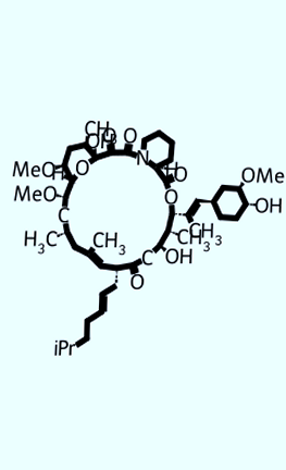 CO[C@H]1C[C@@H](C)C/C(C)=C/[C@@H](C/C=C/CCC(C)C)C(=O)C[C@H](O)[C@@H](C)[C@@H](/C(C)=C/[C@@H]2CC[C@@H](O)[C@H](OC)C2)OC(=O)[C@@H]2CCCCN2C(=O)C(=O)[C@]2(O)O[C@H]1[C@@H](OC)C[C@H]2C